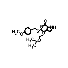 COc1ccc(CSc2nc(=O)c3[nH]ccc3n2CCOC(C)C)cc1